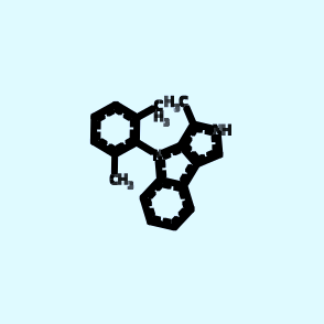 Cc1cccc(C)c1-n1c2ccccc2c2c[nH]c(C)c21